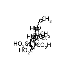 CCOC(C)(C)CCNC(=O)C(CCCCNC(=O)CCCc1ccc(C)cc1)NC(=O)CN1CCN(CC(=O)O)CCN(CC(=O)O)CCN(CC(=O)O)CC1